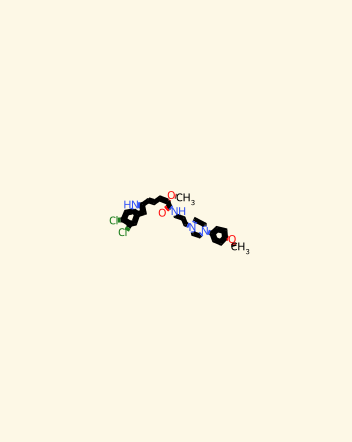 CO/C(=C/C=C/c1cc2cc(Cl)c(Cl)cc2[nH]1)C(=O)NCCCN1CCN(c2ccc(OC)cc2)CC1